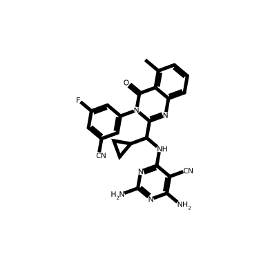 Cc1cccc2nc(C(Nc3nc(N)nc(N)c3C#N)C3CC3)n(-c3cc(F)cc(C#N)c3)c(=O)c12